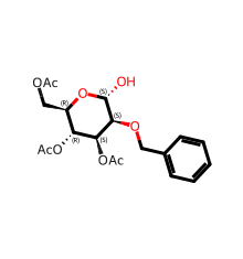 CC(=O)OC[C@H]1O[C@H](O)[C@@H](OCc2ccccc2)[C@@H](OC(C)=O)[C@@H]1OC(C)=O